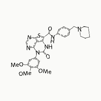 COc1cc(N2C(=O)Nc3c(C(=O)Nc4ccc(CN5CCCCC5)cc4)sc4ncnc2c34)cc(OC)c1OC